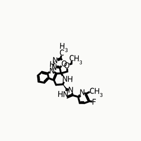 CCOCC1(c2nnc(C)o2)N[C@@H](c2nc(-c3ccc(F)c(C)n3)c[nH]2)Cc2c1[nH]c1ccccc21